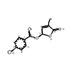 CC1=CC(OC(=O)c2ccc(Cl)cc2)OC1=O